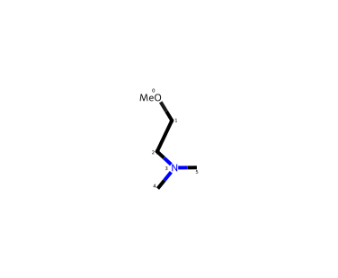 COC[CH]N(C)C